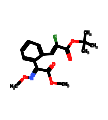 CO/N=C(/C(=O)OC)c1ccccc1/C=C(\Cl)C(=O)OC(C)(C)C